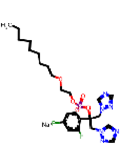 CCCCCCCCCOCCOP(=O)([O-])OC(Cn1cncn1)(Cn1cncn1)c1ccc(F)cc1F.[Na+]